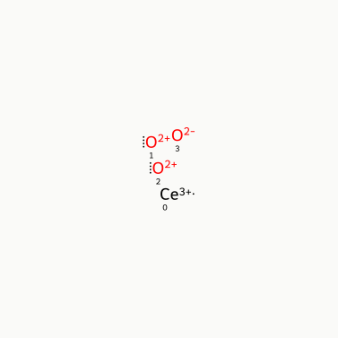 [Ce+3].[O+2].[O+2].[O-2]